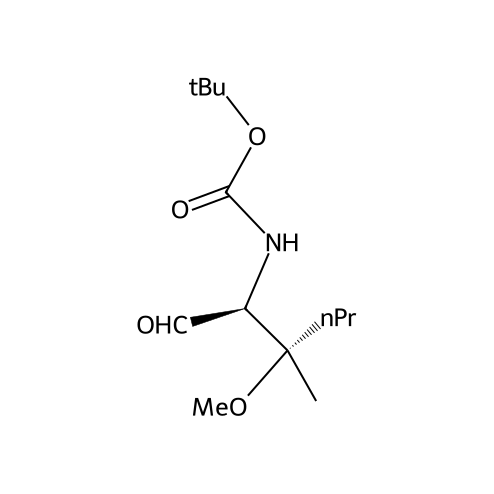 CCC[C@](C)(OC)[C@@H](C=O)NC(=O)OC(C)(C)C